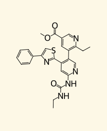 CCNC(=O)Nc1cc(-c2nc(-c3ccccc3)cs2)c(-c2cc(C(=O)OC)cnc2CC)cn1